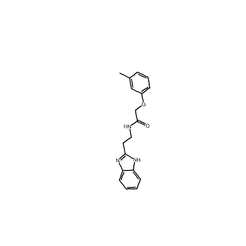 Cc1cccc(OCC(=O)NCCc2nc3ccccc3[nH]2)c1